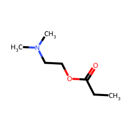 CCC(=O)OCCN(C)C